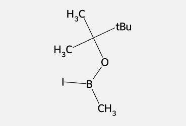 CB(I)OC(C)(C)C(C)(C)C